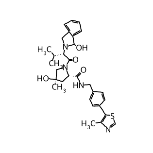 Cc1ncsc1-c1ccc(CNC(=O)[C@@H]2C[C@@](C)(O)CN2C(=O)[C@H](C(C)C)N2Cc3ccccc3C2O)cc1